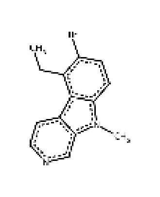 CCc1c(Br)ccc2c1c1ccncc1n2C